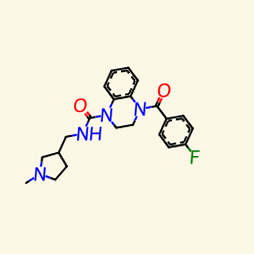 CN1CCC(CNC(=O)N2CCN(C(=O)c3ccc(F)cc3)c3ccccc32)C1